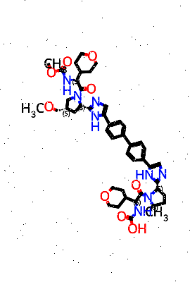 COC[C@H]1C[C@@H](c2ncc(-c3ccc(-c4ccc(-c5cnc([C@@H]6CC[C@H](C)N6C(=O)[C@@H](NC(=O)O)C6CCOCC6)[nH]5)cc4)cc3)[nH]2)N(C(=O)[C@@H](NC(=O)OC)C2CCOCC2)C1